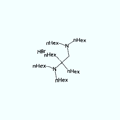 Br.CCCCCCN(CCCCCC)CC(CCCCCC)(CCCCCC)N(CCCCCC)CCCCCC